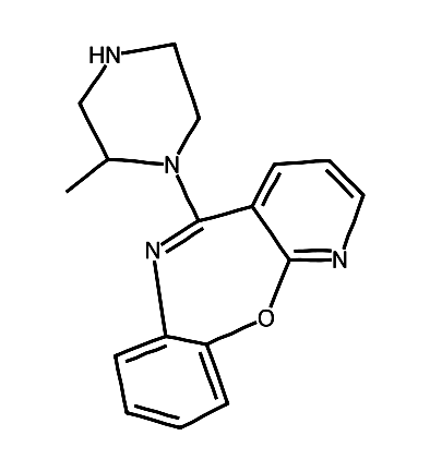 CC1CNCCN1C1=Nc2ccccc2Oc2ncccc21